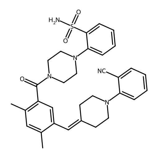 Cc1cc(C)c(C(=O)N2CCN(c3ccccc3S(N)(=O)=O)CC2)cc1C=C1CCN(c2ccccc2C#N)CC1